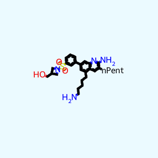 CCCCCc1cc2c(CCCCCN)cc(-c3cccc(S(=O)(=O)N4CC(CO)C4)c3)cc2nc1N